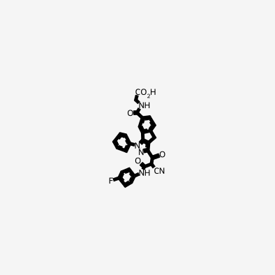 N#CC(C(=O)Nc1ccc(F)cc1)C(=O)c1nn(-c2ccccc2)c2c1Cc1ccc(C(=O)NCC(=O)O)cc1-2